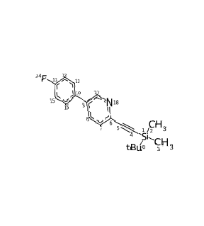 CC(C)(C)[Si](C)(C)C#Cc1ccc(-c2ccc(F)cc2)cn1